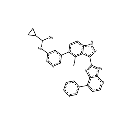 OC(Nc1cncc(-c2ccc3[nH]nc(-c4nc5c(-c6cccnc6)ccnc5[nH]4)c3c2F)c1)C1CC1